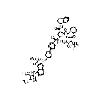 Cc1[nH]nc(Nc2ncnc3cc(OCC4CCN(c5cnc(C(=O)N[C@H]6C[C@@H](C(=O)N[C@@H]7CCCc8ccccc87)N(C(=O)[C@@H](NC(=O)C(C)N(C)C(=O)O)C7CCCCC7)C6)cn5)CC4)c(S(=O)(=O)C(C)(C)C)cc23)c1C